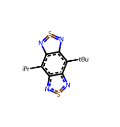 CC(C)c1c2c(c(C(C)(C)C)c3nsnc13)N=S=N2